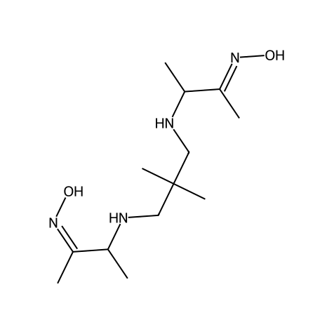 C/C(=N/O)C(C)NCC(C)(C)CNC(C)/C(C)=N/O